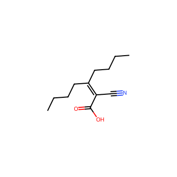 CCCCC(CCCC)=C(C#N)C(=O)O